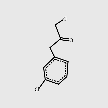 O=C(CCl)Cc1cccc(Cl)c1